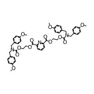 COc1ccc(CN(Cc2ccc(OC)cc2)C(=O)OCCOC(=O)c2cccc(C(=O)OCCOC(=O)N(Cc3ccc(OC)cc3)Cc3ccc(OC)cc3)n2)cc1